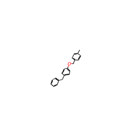 Cc1ccc(COc2ccc(Cc3ccccc3)cc2)cc1